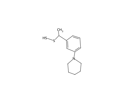 CC(SS)c1cccc(N2CCCCC2)c1